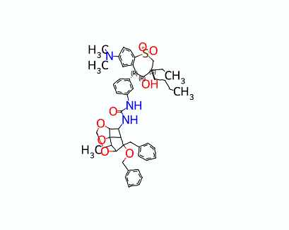 CCCC[C@]1(CC)CS(=O)(=O)c2ccc(N(C)C)cc2[C@@H](c2cccc(NC(=O)NC3C4OC5OC6C(C)C4(O5)C3C6(Cc3ccccc3)OCc3ccccc3)c2)[C@H]1O